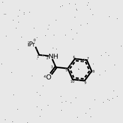 CC(C)CNC(=O)c1cc[c]cc1